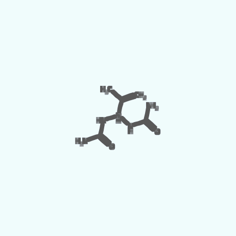 C=C(C)[SiH](NC(N)=O)NC(N)=O